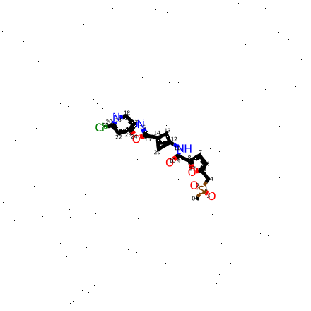 CS(=O)(=O)Cc1ccc(C(=O)NC23CC(c4nc5cnc(Cl)cc5o4)(C2)C3)o1